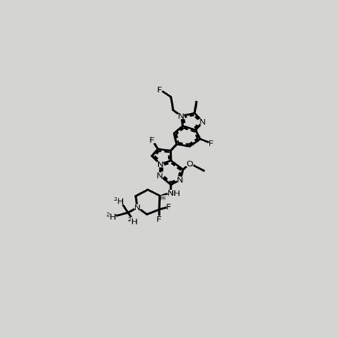 [2H]C([2H])([2H])N1CC[C@@H](Nc2nc(OC)c3c(-c4cc(F)c5nc(C)n(CCF)c5c4)c(F)cn3n2)C(F)(F)C1